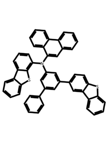 c1ccc(-c2cc(-c3ccc4sc5ccccc5c4c3)cc(N(c3cc4ccccc4c4ccccc34)c3cccc4c3sc3ccccc34)c2)cc1